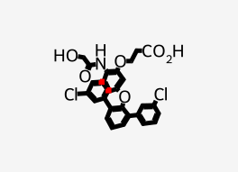 O=C(O)CCOc1cc(Oc2c(-c3cccc(Cl)c3)cccc2-c2cccc(Cl)c2)ccc1NC(=O)CO